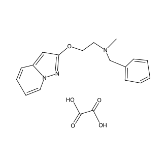 CN(CCOc1cc2ccccn2n1)Cc1ccccc1.O=C(O)C(=O)O